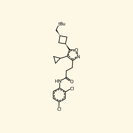 CC(C)(C)C[C@H]1C[C@@H](c2onc(CCC(=O)Nc3ccc(Cl)cc3Cl)c2C2CC2)C1